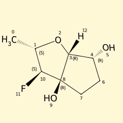 C[C@@H]1O[C@@H]2[C@H](O)CC[C@]2(O)[C@H]1F